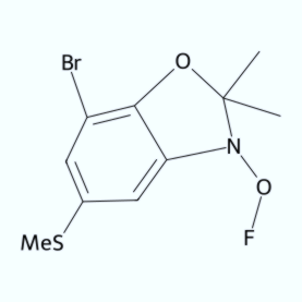 CSc1cc(Br)c2c(c1)N(OF)C(C)(C)O2